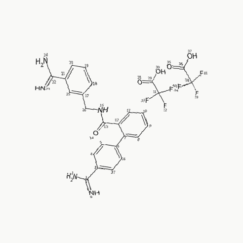 N=C(N)c1ccc(-c2ccccc2C(=O)NCc2cccc(C(=N)N)c2)cc1.O=C(O)C(F)(F)F.O=C(O)C(F)(F)F